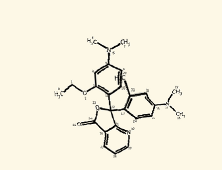 CCOc1cc(N(C)C)ccc1C1(c2ccc(N(C)C)cc2C)OC(=O)c2cccnc21